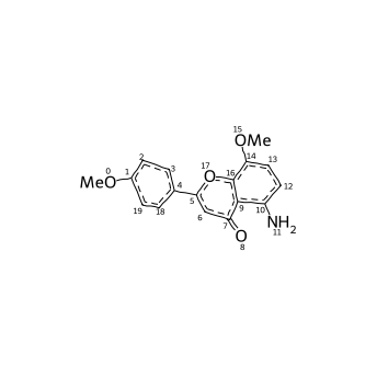 COc1ccc(-c2cc(=O)c3c(N)ccc(OC)c3o2)cc1